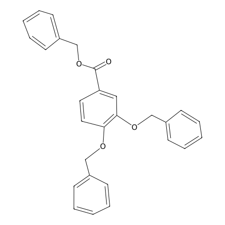 O=C(OCc1ccccc1)c1ccc(OCc2ccccc2)c(OCc2ccccc2)c1